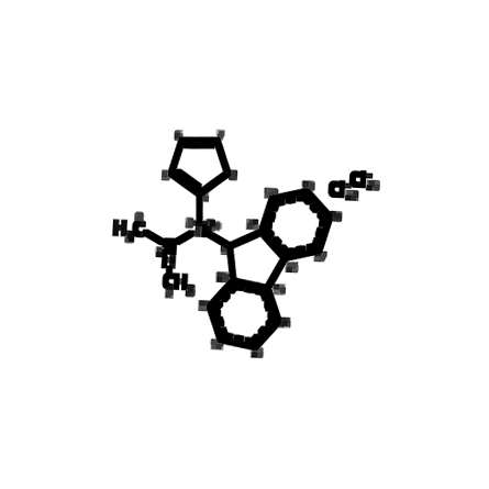 C[SiH](C)[Ti+2]([C]1=CC=CC1)[CH]1c2ccccc2-c2ccccc21.[Cl-].[Cl-]